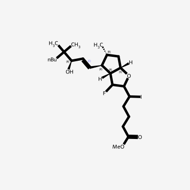 CCCCC(C)(C)[C@H](O)/C=C/[C@@H]1[C@H]2C(F)C(C(I)CCCC(=O)OC)O[C@H]2C[C@H]1C